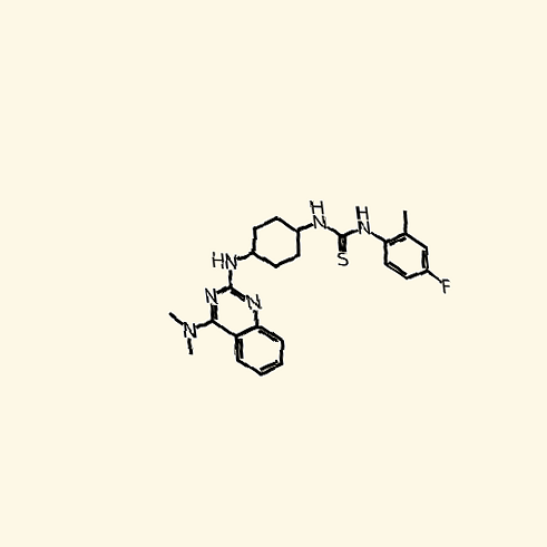 Cc1cc(F)ccc1NC(=S)NC1CCC(Nc2nc(N(C)C)c3ccccc3n2)CC1